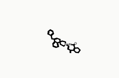 C=C1C=C(N2CCC3(CC=C(Cc4ccccc4)c4ccccc43)CC2)NC(=O)C2=C1CCCC2